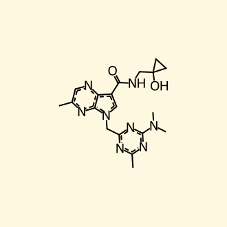 Cc1cnc2c(C(=O)NCC3(O)CC3)cn(Cc3nc(C)nc(N(C)C)n3)c2n1